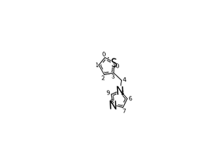 [c]1ccc(Cn2ccnc2)s1